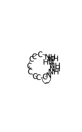 C1=CCC2CCCCCCCCCCCCNNNNNNN(CC1)C2